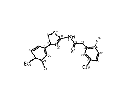 CCC1C=CC(C2CSC(NC(=O)Cc3cc(Cl)ccc3F)=N2)=CC1C